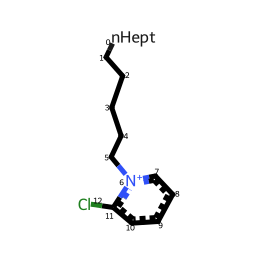 CCCCCCCCCCCC[n+]1ccccc1Cl